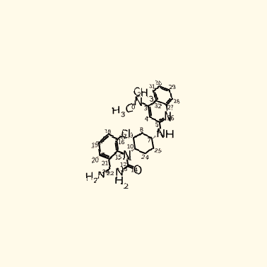 CN(C)c1cc(N[C@H]2CC[C@@H](N(C(N)=O)c3c(Cl)cccc3CN)CC2)nc2ccccc12